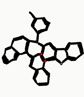 Cc1cccc(N(c2ccc3oc4ccccc4c3c2)c2ccc3ccccc3c2-c2ccc3ccccc3c2)c1